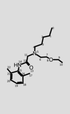 CCCCCN(CCOCC)CC(=O)Nc1c(C)cccc1C